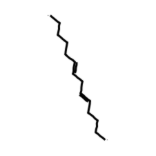 [CH2]CCCC=CCC=CCCCC[CH2]